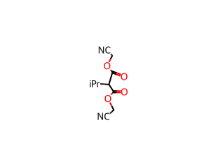 CC(C)C(C(=O)OCC#N)C(=O)OCC#N